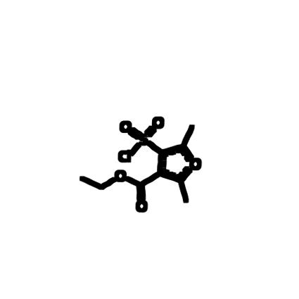 CCOC(=O)c1c(C)oc(C)c1S(=O)(=O)Cl